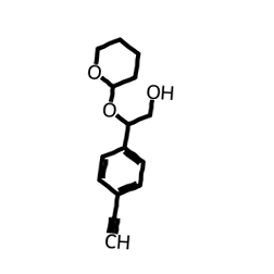 C#Cc1ccc(C(CO)OC2CCCCO2)cc1